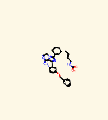 CCCCNC(=O)O.Nc1nccn2c(C3CCCCC3)nc(-c3cccc(OCc4ccccc4)c3)c12